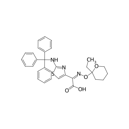 CCC1(ON=C(C(=O)O)c2csc(NC(c3ccccc3)(c3ccccc3)c3ccccc3)n2)CCCCO1